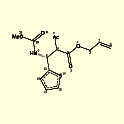 C=CCOC(=O)C(C(C)=O)[C@@H](NC(=O)OC)c1cccs1